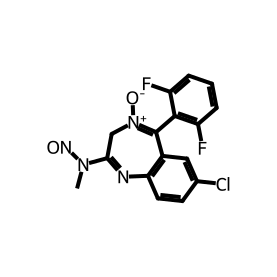 CN(N=O)C1=Nc2ccc(Cl)cc2C(c2c(F)cccc2F)=[N+]([O-])C1